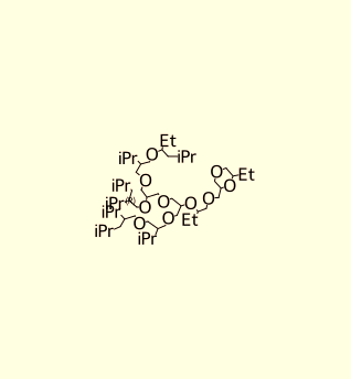 CCC(CC(C)C)OCC(COCC(COCC(COCC(COCC(CC(C)C)C(C)C)C(C)C)OC(CC)COCC1COCC(CC)O1)OC[C@H](CC(C)C)C(C)C)C(C)C